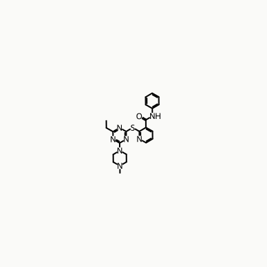 CCc1nc(Sc2ncccc2C(=O)Nc2ccccc2)nc(N2CCN(C)CC2)n1